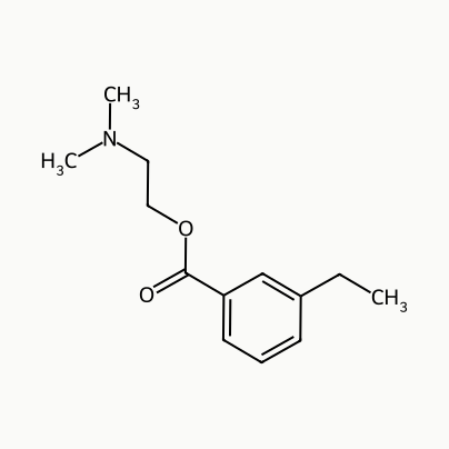 CCc1cccc(C(=O)OCCN(C)C)c1